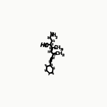 C=C(C#CC1CCCCC1)/C=C(\C)C(O)CCN